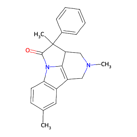 Cc1ccc2c(c1)c1c3n2C(=O)C(C)(c2ccccc2)C3CN(C)C1